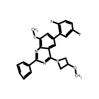 COc1cc(-c2cc(F)ccc2F)cc2c(N3CC(OC)C3)nc(-c3ccccc3)nc12